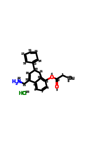 CC(C)(C)CC(=O)Oc1cccc2c1CC(c1ccccc1)C=C2CN.Cl